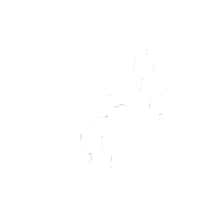 CCCn1c(=O)c2[nH]c(-c3cnn(C(c4ccc(OC)cc4)C4CNC(=O)C4)c3)nc2n(CCC)c1=O